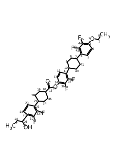 CCOc1ccc(C2CCC(c3ccc(OC(=O)C4CCC(c5ccc(C(O)CC)c(F)c5F)CC4)c(F)c3F)CC2)c(F)c1F